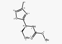 CSC[C@H](NC(=O)OC(C)(C)C)c1nc(C)no1